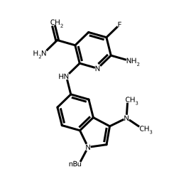 C=C(N)c1cc(F)c(N)nc1Nc1ccc2c(c1)c(N(C)C)cn2CCCC